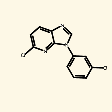 Clc1cccc(-n2[c]nc3ccc(Cl)nc32)c1